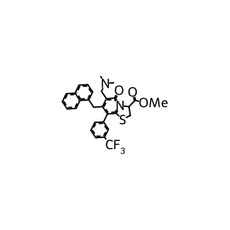 COC(=O)C1CSc2c(-c3cccc(C(F)(F)F)c3)c(Cc3cccc4ccccc34)c(CN(C)C)c(=O)n21